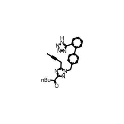 CC#CCc1nc(C(=O)CCCC)nn1Cc1ccc(-c2ccccc2-c2nnn[nH]2)cc1